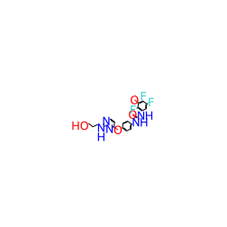 COc1c(F)c(F)cc(NC(=O)Nc2ccc(Oc3ccnc(NCCCO)n3)cc2)c1F